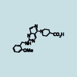 COc1ccccc1CNc1ncc2c(N3CCC(C(=O)O)CC3)nccc2n1